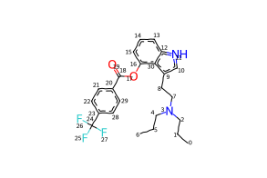 CCCN(CCC)CCc1c[nH]c2cccc(OC(=O)c3ccc(C(F)(F)F)cc3)c12